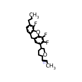 C/C=C/C1CCC(c2cc3c(c(F)c2F)Oc2c(ccc(CCC)c2F)C3)CO1